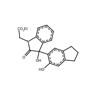 CCOC(=O)CN1C(=O)C(O)(c2cc3c(cc2O)CCC3)c2ccccc21